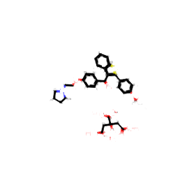 COc1ccc(-c2sc3ccccc3c2C(=O)c2ccc(OCCN3CCCC3)cc2)cc1.O=C(O)CC(O)(CC(=O)O)C(=O)O